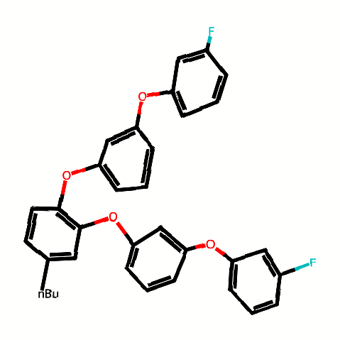 CCCCc1ccc(Oc2cccc(Oc3cccc(F)c3)c2)c(Oc2cccc(Oc3cccc(F)c3)c2)c1